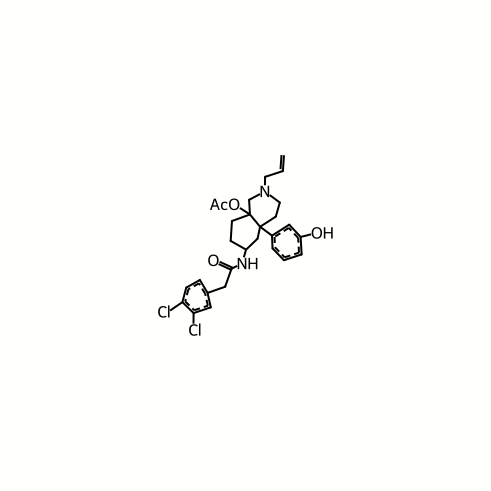 C=CCN1CCC2(c3cccc(O)c3)CC(NC(=O)Cc3ccc(Cl)c(Cl)c3)CCC2(OC(C)=O)C1